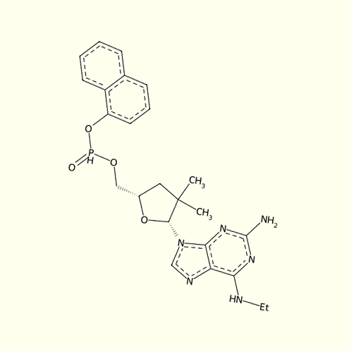 CCNc1nc(N)nc2c1ncn2[C@@H]1O[C@H](CO[PH](=O)Oc2cccc3ccccc23)CC1(C)C